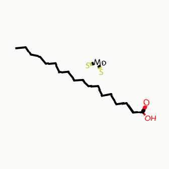 CCCCCCCCCCCCCCCCCC(=O)O.[S]=[Mo]=[S]